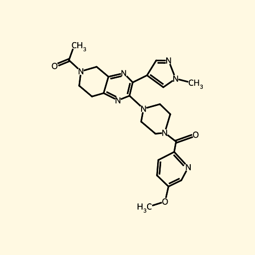 COc1ccc(C(=O)N2CCN(c3nc4c(nc3-c3cnn(C)c3)CN(C(C)=O)CC4)CC2)nc1